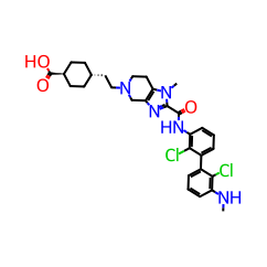 CNc1cccc(-c2cccc(NC(=O)c3nc4c(n3C)CCN(CC[C@H]3CC[C@H](C(=O)O)CC3)C4)c2Cl)c1Cl